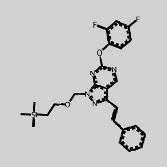 C[Si](C)(C)CCOCn1nc(C=Cc2ccccc2)c2cnc(Oc3ccc(F)cc3F)nc21